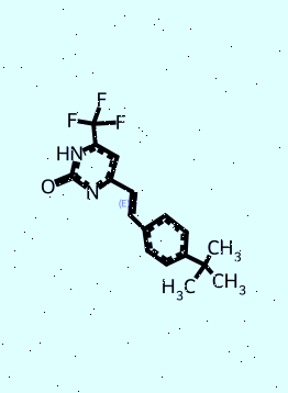 CC(C)(C)c1ccc(/C=C/c2cc(C(F)(F)F)[nH]c(=O)n2)cc1